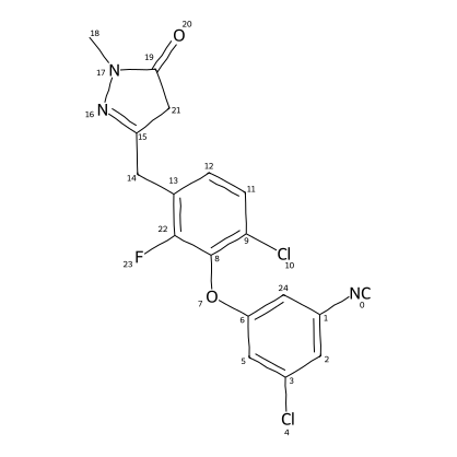 [C-]#[N+]c1cc(Cl)cc(Oc2c(Cl)ccc(CC3=NN(C)C(=O)C3)c2F)c1